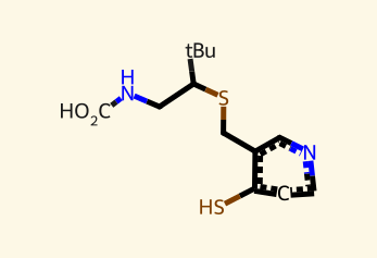 CC(C)(C)C(CNC(=O)O)SCc1cnccc1S